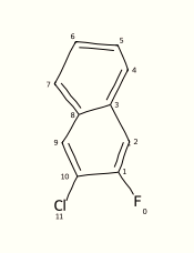 Fc1[c]c2ccccc2cc1Cl